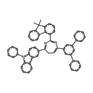 CC1(C)c2ccccc2-c2c(C3=NC(c4cc(-c5ccccc5)cc(-c5ccccc5)c4)=CCC(c4ccc5c(c4)c4ccccc4n5-c4ccccc4)=N3)cccc21